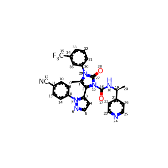 Cc1c(-c2ccnn2-c2ccc(C#N)cc2)n(C(=O)N[C@@H](C)c2ccncc2)c(=O)n1-c1cccc(C(F)(F)F)c1